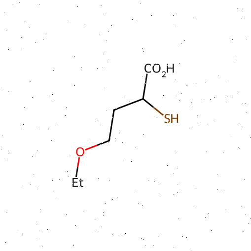 CCOCCC(S)C(=O)O